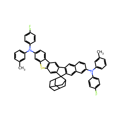 Cc1cccc(N(c2ccc(F)cc2)c2ccc3cc4c(cc3c2)C2(c3cc5sc6cc(N(c7ccc(F)cc7)c7cccc(C)c7)ccc6c5cc3-4)C3CC4CC(C3)CC2C4)c1